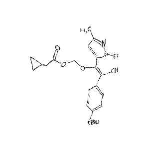 CCn1nc(C)cc1/C(OCOC(=O)C1CC1)=C(\C#N)c1ccc(C(C)(C)C)cc1